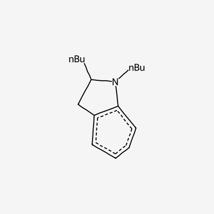 CCCCC1Cc2ccccc2N1CCCC